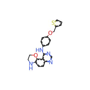 c1csc(COc2ccc(Nc3ncnc4ccc5c(c34)OCCN5)cc2)c1